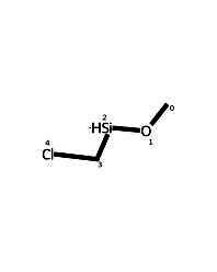 CO[SiH]CCl